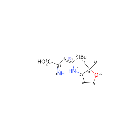 CC(C)(C)/C(=C/C(=N)C(=O)O)NC1CCOC1(C)C